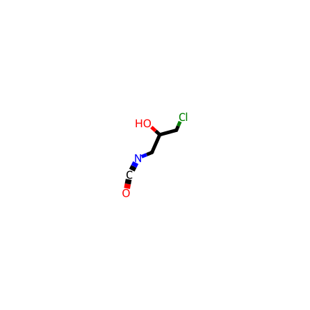 O=C=NCC(O)CCl